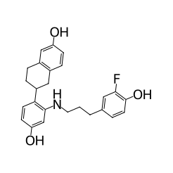 Oc1ccc2c(c1)CCC(c1ccc(O)cc1NCCCc1ccc(O)c(F)c1)C2